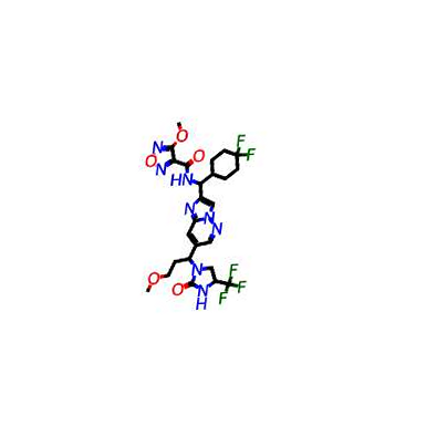 COCCC(c1cnn2cc(C(NC(=O)c3nonc3OC)C3CCC(F)(F)CC3)nc2c1)N1CC(C(F)(F)F)NC1=O